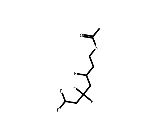 CC(=O)SCCC(F)CC(F)(F)CC(F)F